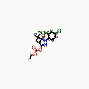 CCOC(=O)OC1=NN(c2ccc(Cl)cc2Cl)C(OC)(C(C)(C)C)C1